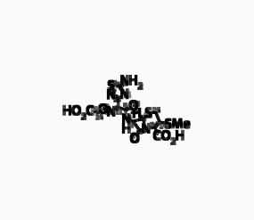 CSC1=C(C(=O)O)N2C(=O)C(NC(=O)C(=NOCC(=O)O)c3nsc(N)n3)[C@@H]2SC1